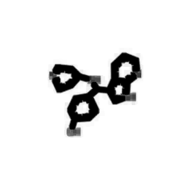 Oc1ccc(C(Nc2ccncc2)c2c[nH]c3ncccc23)cc1